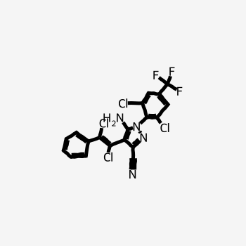 N#Cc1nn(-c2c(Cl)cc(C(F)(F)F)cc2Cl)c(N)c1C(Cl)=C(Cl)c1ccccc1